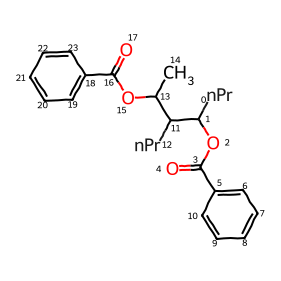 CCCC(OC(=O)c1ccccc1)C(CCC)C(C)OC(=O)c1ccccc1